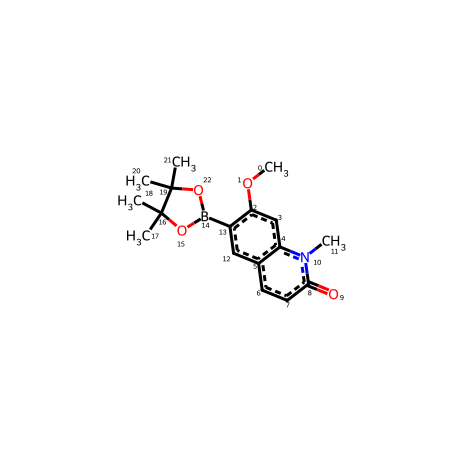 COc1cc2c(ccc(=O)n2C)cc1B1OC(C)(C)C(C)(C)O1